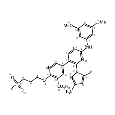 COc1cc(Nc2ncc(-c3cnc(OCCCS(C)(=O)=O)c(C(=O)O)c3)c(-n3nc(C(F)(F)F)cc3C)n2)cc(OC)c1